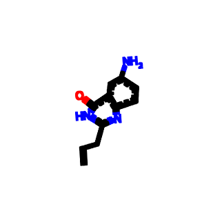 C=CCc1nc2ccc(N)cc2c(=O)[nH]1